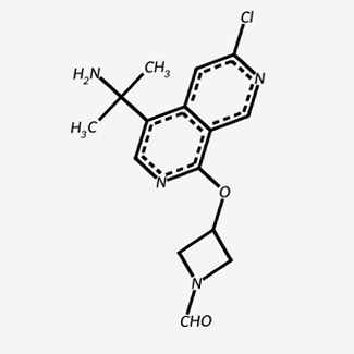 CC(C)(N)c1cnc(OC2CN(C=O)C2)c2cnc(Cl)cc12